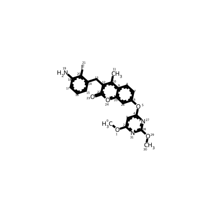 COc1cc(Oc2ccc3c(C)c(Cc4cccc(N)c4F)c(=O)oc3c2)nc(OC)n1